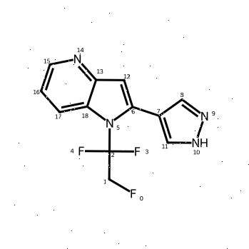 FCC(F)(F)n1c(-c2cn[nH]c2)cc2ncccc21